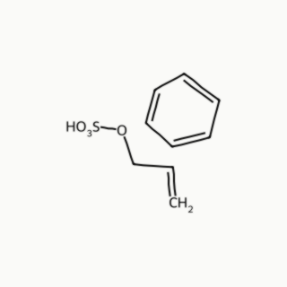 C=CCOS(=O)(=O)O.c1ccccc1